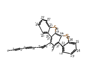 CC#CC#CC#Cc1c(C)c2c3ccccc3sc2c2sc3ccccc3c12